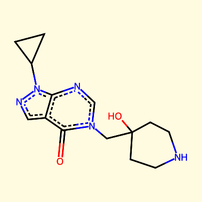 O=c1c2cnn(C3CC3)c2ncn1CC1(O)CCNCC1